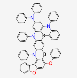 c1ccc(N(c2ccccc2)c2cc3c4c(c2)N(c2ccccc2)c2cc5c(cc2B4c2ccccc2N3c2ccccc2)B2c3ccccc3Oc3cc4oc6ccccc6c4c(c32)N5c2ccccc2)cc1